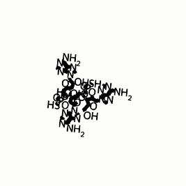 COC1C(CO)OC(n2cnc3c(N)ncnc32)C1OP(=O)(S)OCC1OC(n2cnc3c(N)ncnc32)C(OP(=O)(S)OCC2OC(n3cnc4c(N)ncnc43)C(O)C2O)C1O